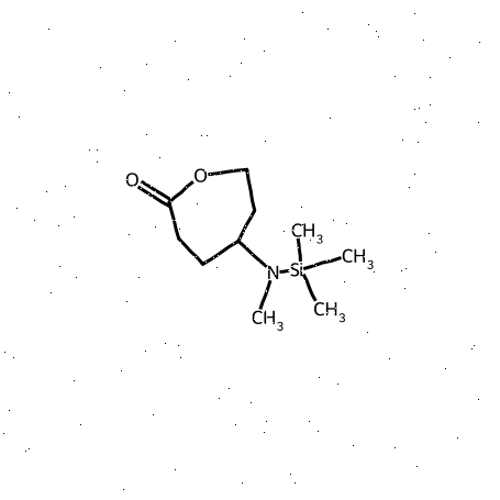 CN(C1CCOC(=O)CC1)[Si](C)(C)C